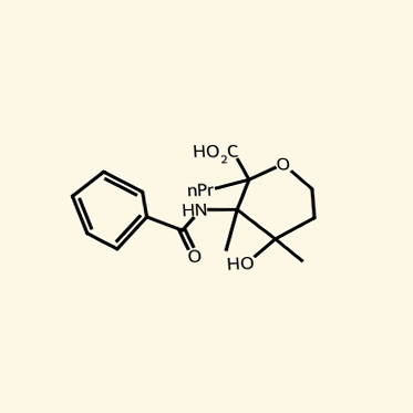 CCCC1(C(=O)O)OCCC(C)(O)C1(C)NC(=O)c1ccccc1